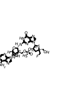 Nc1nc2c(ncn2[C@@H]2S[C@@](CO)(CF)C[C@H]2OP(=O)(S)OC[C@@]23CO[C@@H]([C@H](n4cnc5c(N)ncnc54)O2)[C@@H]3O)c(=O)[nH]1